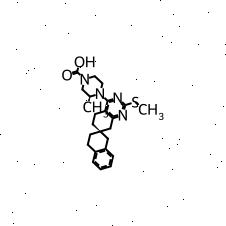 CSc1nc2c(c(N3CCN(C(=O)O)C[C@@H]3C)n1)CC[C@@]1(CCc3ccccc3C1)C2